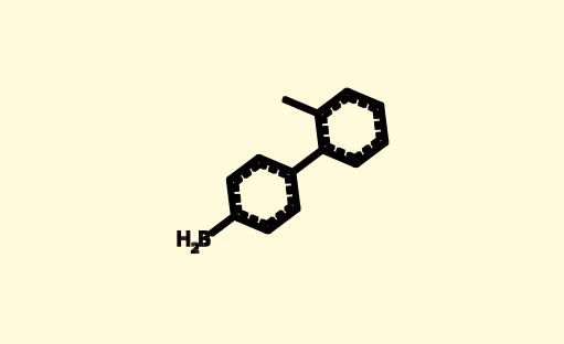 Bc1ccc(-c2ccccc2C)cc1